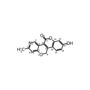 Cc1ncc2c(n1)OCc1c-2c(=O)oc2cc(O)ccc12